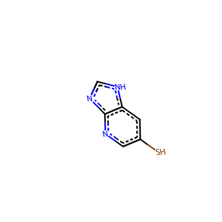 Sc1cnc2nc[nH]c2c1